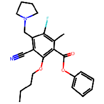 CCCCOc1c(C#N)c(CN2CCCC2)c(F)c(C)c1C(=O)Oc1ccccc1